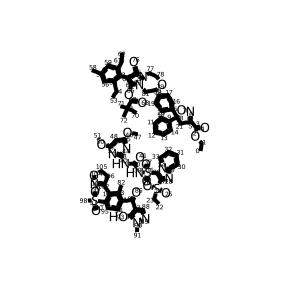 CCOC(=O)C1=NOC(c2ccccc2)(c2ccccc2)C1.CCS(=O)(=O)c1nc2ccccn2c1S(=O)(=O)NC(=O)Nc1nc(OC)cc(OC)n1.CCc1cc(C)cc(CC)c1-c1c(OC(=O)C(C)(C)C)n2n(c1=O)CCOCC2.Cc1c(C(=O)c2cnn(C)c2O)ccc(S(C)(=O)=O)c1C1=NOCC1